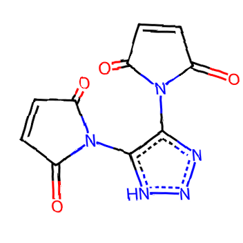 O=C1C=CC(=O)N1c1nn[nH]c1N1C(=O)C=CC1=O